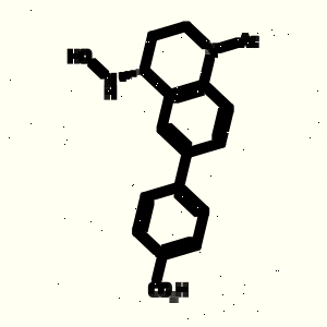 CC(=O)N1CC[C@@H](NO)c2cc(-c3ccc(C(=O)O)cc3)ccc21